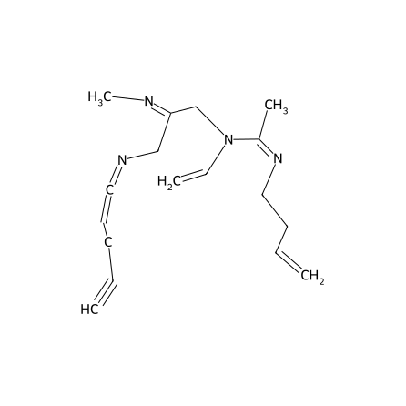 C#CCC=C=NC/C(CN(C=C)/C(C)=N\CCC=C)=N\C